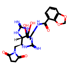 N=C1N[C@H]2[C@H](CN3C(=O)CCC3=O)NC(=N)N3CC(NC(=O)c4cccc5c4OCO5)C(O)(O)[C@]23N1